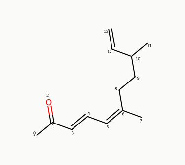 [CH2]C(=O)C=CC=C(C)CCC(C)C=C